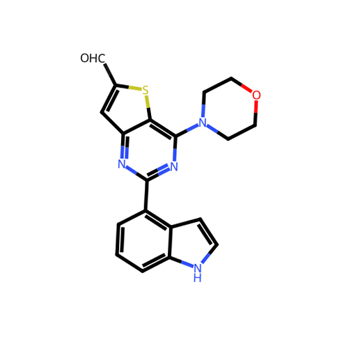 O=Cc1cc2nc(-c3cccc4[nH]ccc34)nc(N3CCOCC3)c2s1